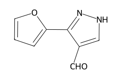 O=Cc1c[nH]nc1-c1ccco1